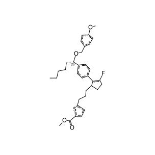 CCCCC[C@H](OCc1ccc(OC)cc1)c1ccc(C2=C(F)CCC2CCCc2ccc(C(=O)OC)s2)cc1